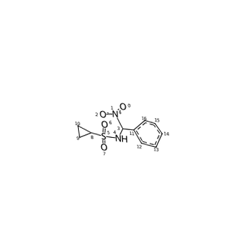 O=[N+]([O-])C(NS(=O)(=O)C1CC1)c1ccccc1